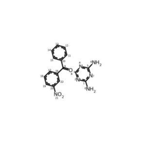 Nc1ncnc(N)n1.O=C(c1ccccc1)c1cccc([N+](=O)[O-])c1